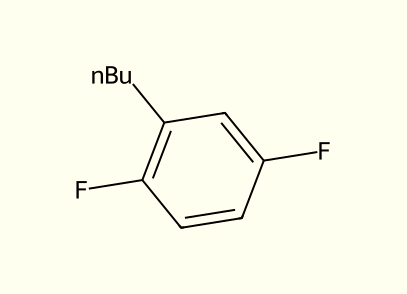 [CH2]CCCc1cc(F)ccc1F